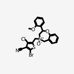 COc1ccccc1C1C[N+]([O-])(Cc2sc(Br)c(C#N)c2Cl)Cc2ccccc2O1